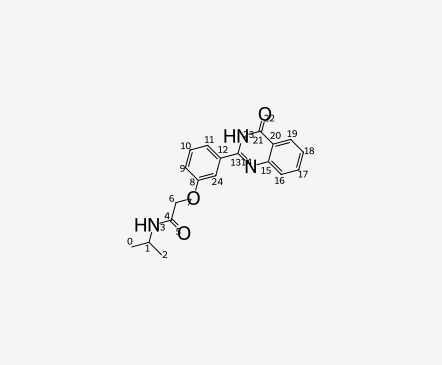 CC(C)NC(=O)COc1cccc(-c2nc3ccccc3c(=O)[nH]2)c1